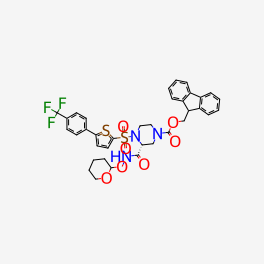 O=C(NOC1CCCCO1)[C@H]1CN(C(=O)OCC2c3ccccc3-c3ccccc32)CCN1S(=O)(=O)c1ccc(-c2ccc(C(F)(F)F)cc2)s1